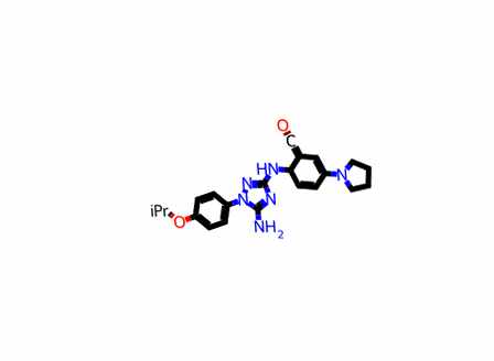 CC(C)Oc1ccc(-n2nc(NC3C=CC(N4CCCC4)=CC3=C=O)nc2N)cc1